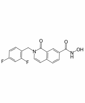 O=C(NO)c1ccc2ccn(Cc3ccc(F)cc3F)c(=O)c2c1